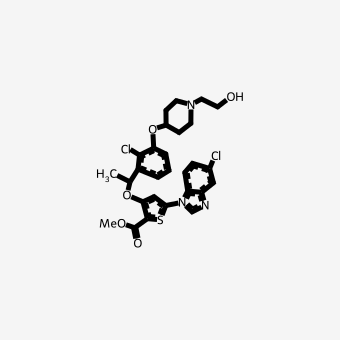 COC(=O)c1sc(-n2cnc3cc(Cl)ccc32)cc1OC(C)c1cccc(OC2CCN(CCO)CC2)c1Cl